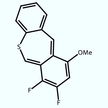 COc1cc(F)c(F)c2c1=Cc1ccccc1SC=2